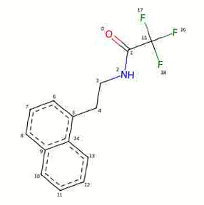 O=C(NCCc1cccc2ccccc12)C(F)(F)F